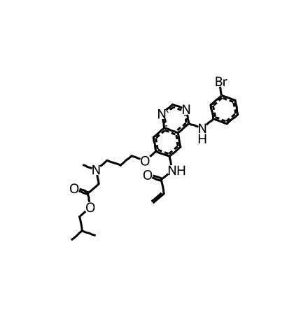 C=CC(=O)Nc1cc2c(Nc3cccc(Br)c3)ncnc2cc1OCCCN(C)CC(=O)OCC(C)C